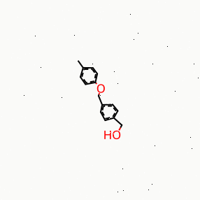 Cc1ccc(OCc2ccc(CO)cc2)cc1